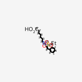 CCOc1ccccc1/C=C1/ON(CCCCCCC(=O)O)OS1